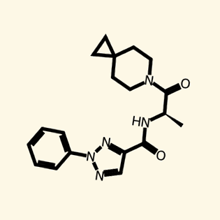 C[C@@H](NC(=O)c1cnn(-c2ccccc2)n1)C(=O)N1CCC2(CC1)CC2